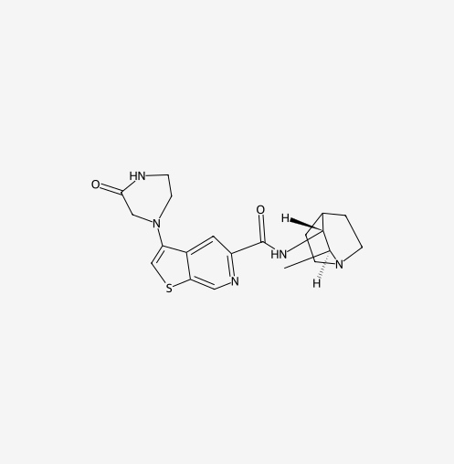 C[C@H]1[C@H](NC(=O)c2cc3c(N4CCNC(=O)C4)csc3cn2)C2CCN1CC2